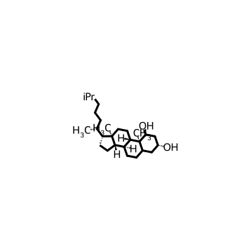 CC(C)CCC[C@@H](C)[C@H]1CC[C@H]2[C@@H]3CCC4C[C@@H](O)CC(O)[C@]4(C)[C@H]3CC[C@]12C